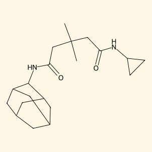 CC(C)(CC(=O)NC1CC1)CC(=O)NC1C2CC3CC(C2)CC1C3